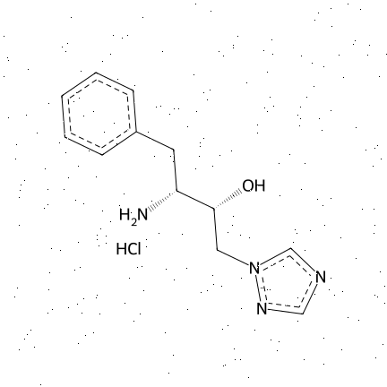 Cl.N[C@H](Cc1ccccc1)[C@H](O)Cn1cncn1